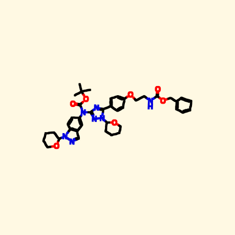 CC(C)(C)OC(=O)N(c1ccc2c(cnn2C2CCCCO2)c1)c1nc(-c2ccc(OCCNC(=O)OCc3ccccc3)cc2)n(C2CCCCO2)n1